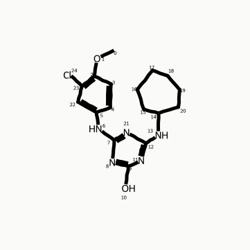 COc1ccc(Nc2nc(O)nc(NC3CCCCCC3)n2)cc1Cl